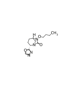 CCCCON1C(=O)N2C[C@@H]1CC[C@H]2c1nnco1